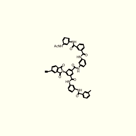 C#Cc1ccc2c(c1)C(=O)N(c1cc(C(=O)Nc3cccc(NC(=O)c4cccc(C)c4)c3)cc(C(=O)Nc3cccc(NC(=O)c4cccc(C(=O)Nc5cccc(NC(C)=O)c5)c4)c3)c1)C2=O